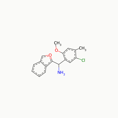 COc1cc(C)c(Cl)cc1C(N)c1occ2ccccc12